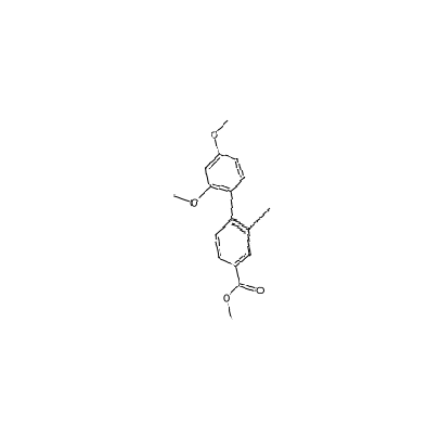 COC(=O)c1ccc(-c2ccc(OC)cc2OC)c(C)c1